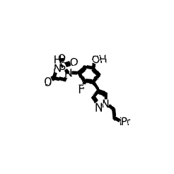 CC(C)CCn1cc(-c2cc(O)cc(N3CC(=O)NS3(=O)=O)c2F)cn1